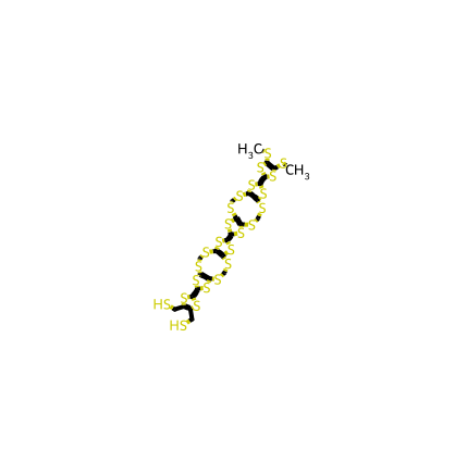 CSC1=C(SC)SC(=C2SC3=C(SCSC4=C(SCS3)SC(=C3SC5=C(SCSC6=C(SCS5)SC(=C5SC(CS)=C(CS)S5)S6)S3)S4)S2)S1